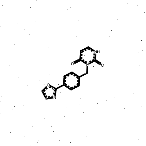 O=c1cc[nH]c(=O)n1Cc1ccc(-c2ncco2)cc1